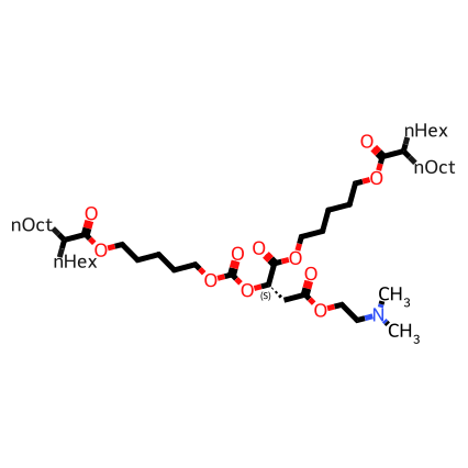 CCCCCCCCC(CCCCCC)C(=O)OCCCCCOC(=O)O[C@@H](CC(=O)OCCN(C)C)C(=O)OCCCCCOC(=O)C(CCCCCC)CCCCCCCC